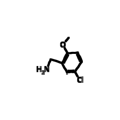 COc1ccc(Cl)[c]c1CN